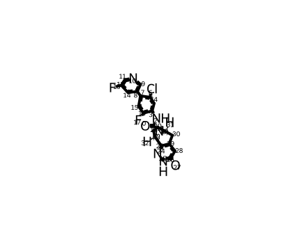 O=C(Nc1cc(Cl)c(-c2cncc(F)c2)cc1F)N1[C@H]2CC[C@@H]1c1n[nH]c(=O)cc1C2